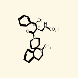 CC[C@@H](c1ccccc1)[C@@H](CNC(=O)O)C(=O)N1CCC2(CC1)c1ccccc1CCN2C